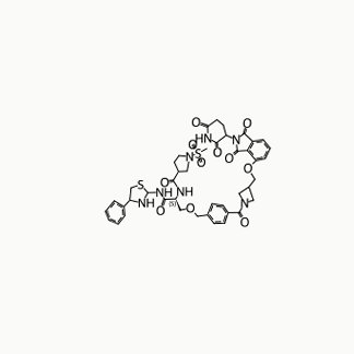 CS(=O)(=O)N1CCC(C(=O)N[C@@H](COCc2ccc(C(=O)N3CC(COc4cccc5c4C(=O)N(C4CCC(=O)NC4=O)C5=O)C3)cc2)C(=O)NC2NC(c3ccccc3)CS2)C1